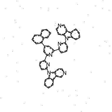 c1cc(-c2cc(-c3cccc4ccccc34)cc(-c3cccc(-n4c5ccccc5c5cnccc54)n3)n2)nc(-n2c3ccccc3c3cnccc32)c1